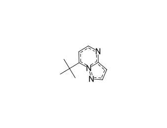 CC(C)(C)c1ccnc2ccnn12